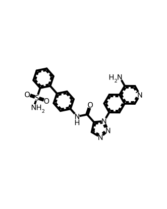 Nc1cncc2cc(-n3nncc3C(=O)Nc3ccc(-c4ccccc4S(N)(=O)=O)cc3)ccc12